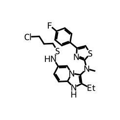 CCC1=C(N(C)c2nc(-c3ccc(F)cc3)cs2)N2C=C(NSCCCCl)C=CC2N1